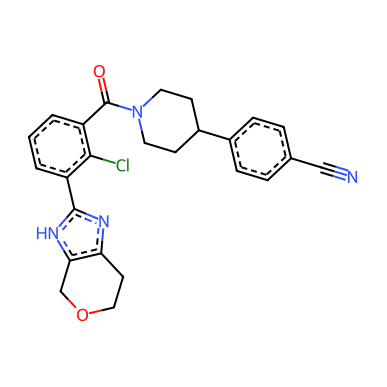 N#Cc1ccc(C2CCN(C(=O)c3cccc(-c4nc5c([nH]4)COCC5)c3Cl)CC2)cc1